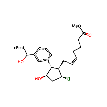 CCCCCC(O)c1cccc([C@@H]2[C@@H](C/C=C\CCCC(=O)OC)[C@@H](Cl)C[C@H]2O)c1